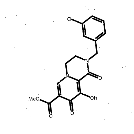 COC(=O)c1cn2c(c(O)c1=O)C(=O)N(Cc1cccc(Cl)c1)CC2